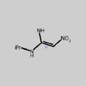 CC(C)N/C([NH])=C/[N+](=O)[O-]